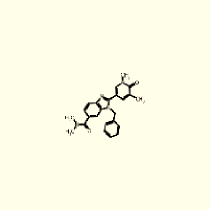 Cc1cc(-c2nc3ccc(C(=O)N(C)C)cc3n2Cc2ccccc2)cn(C)c1=O